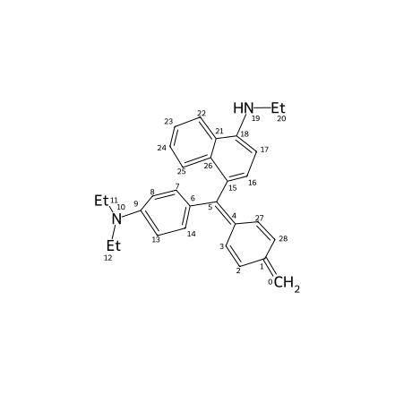 C=c1ccc(=C(c2ccc(N(CC)CC)cc2)c2ccc(NCC)c3ccccc23)cc1